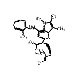 CC/C=C/C=C\C(=C(/C)C(C)CC)c1cc(NCc2ccccc2C(F)(F)F)c2c(n1)c(C)c(CC)n2C(C)C